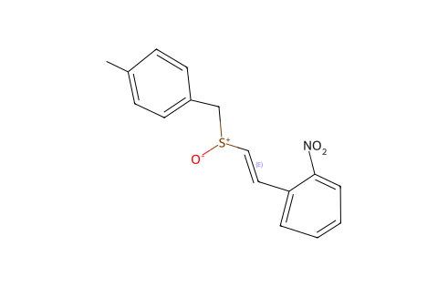 Cc1ccc(C[S+]([O-])/C=C/c2ccccc2[N+](=O)[O-])cc1